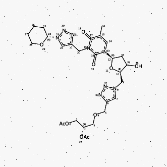 CC(=O)OC[C@H](COCc1cn(C[C@H]2O[C@@H](n3cc(C)c(=O)n(Cc4cn([C@H]5CCCCO5)nn4)c3=O)CC2O)nn1)OC(C)=O